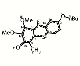 CCCCOc1ccc2sc3c(C)c(=O)c(OC)c(OC)c-3nc2c1